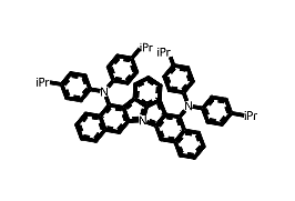 CC(C)c1ccc(N(c2ccc(C(C)C)cc2)c2c3ccccc3cc3c2c2cccc4c5c(N(c6ccc(C(C)C)cc6)c6ccc(C(C)C)cc6)c6ccccc6cc5n3c24)cc1